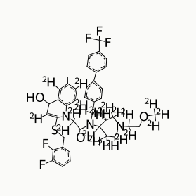 [2H]C1=C(SCc2cccc(F)c2F)N(C([2H])([2H])C(=O)N(C([2H])([2H])c2ccc(-c3ccc(C(F)(F)F)cc3)cc2)C2([2H])C([2H])([2H])C([2H])([2H])N(C([2H])([2H])COC([2H])([2H])[2H])C([2H])([2H])C2([2H])[2H])c2c([2H])c([2H])c(C)c([2H])c2C1O